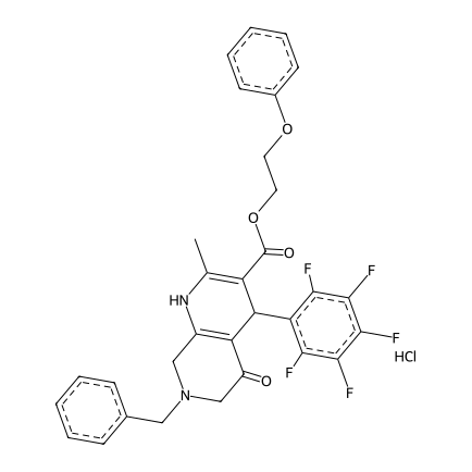 CC1=C(C(=O)OCCOc2ccccc2)C(c2c(F)c(F)c(F)c(F)c2F)C2=C(CN(Cc3ccccc3)CC2=O)N1.Cl